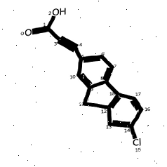 O=C(O)C#Cc1ccc2c(c1)Cc1cc(Cl)ccc1-2